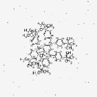 CC(C)(C)c1ccc(N(c2ccc(C(C)(C)C)cc2)c2cc(N(c3ccc(C(C)(C)C)cc3)c3ccc(C(C)(C)C)cc3)c(Cl)c(N(c3ccc(C(C)(C)C)cc3)c3ccc(C(C)(C)C)cc3)c2)cc1